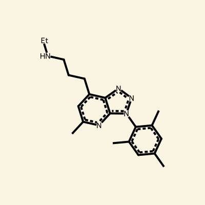 CCNCCCc1cc(C)nc2c1nnn2-c1c(C)cc(C)cc1C